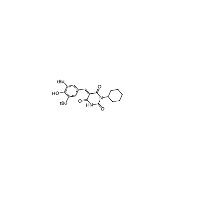 CC(C)(C)c1cc(C=C2C(=O)NC(=O)N(C3CCCCC3)C2=O)cc(C(C)(C)C)c1O